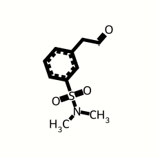 CN(C)S(=O)(=O)c1cccc(C[C]=O)c1